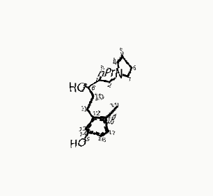 CCCC(CN1CCCC1)C(O)CCc1cc(O)ccc1C